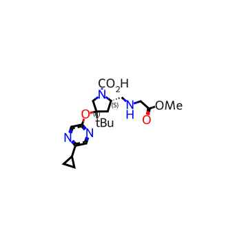 COC(=O)CNC[C@@H]1C[C@@](Oc2cnc(C3CC3)cn2)(C(C)(C)C)CN1C(=O)O